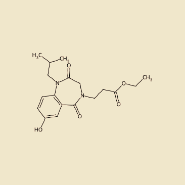 CCOC(=O)CCN1CC(=O)N(CC(C)C)c2ccc(O)cc2C1=O